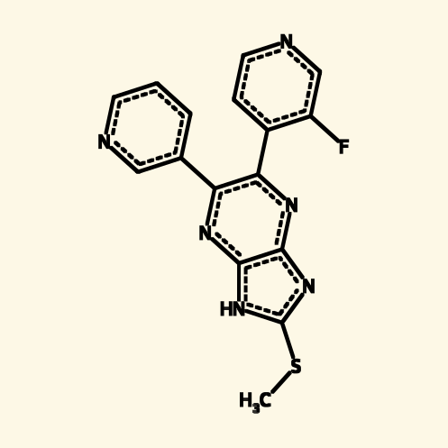 CSc1nc2nc(-c3ccncc3F)c(-c3cccnc3)nc2[nH]1